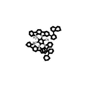 N#Cc1c(-n2c3ccccc3c3ccccc32)c(-n2c3cc(-c4ccccc4-c4ccccc4)ccc3c3ccc4c5ccccc5sc4c32)c(C#N)c(N)c1-n1c2cc(-c3ccccc3-c3cccc4ccccc34)ccc2c2ccc3c4ccccc4sc3c21